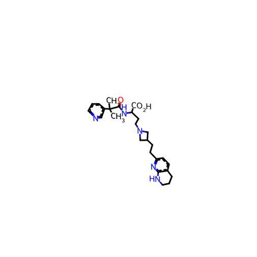 CC(C)(C(=O)NC(CCN1CC(CCc2ccc3c(n2)NCCC3)C1)C(=O)O)c1cccnc1